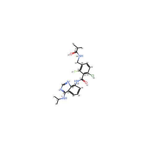 CC(C)Nc1ncnc2c(NC(=O)c3c(Cl)ccc(CNC(=O)C(C)C)c3F)cccc12